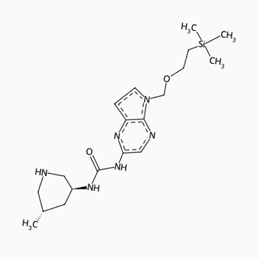 C[C@@H]1CNC[C@@H](NC(=O)Nc2cnc3c(ccn3COCC[Si](C)(C)C)n2)C1